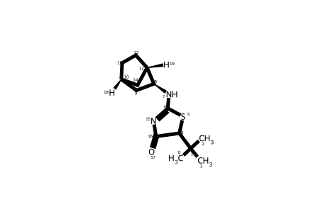 CC(C)(C)C1SC(N[C@H]2C[C@@H]3CC[C@H]2C3)=NC1=O